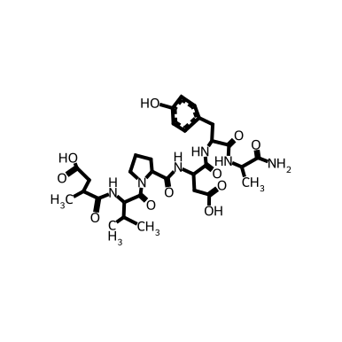 CC(CC(=O)O)C(=O)NC(C(=O)N1CCCC1C(=O)NC(CC(=O)O)C(=O)NC(Cc1ccc(O)cc1)C(=O)NC(C)C(N)=O)C(C)C